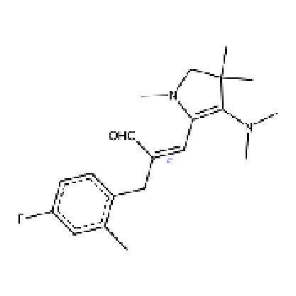 Cc1cc(F)ccc1C/C(C=O)=C/C1=C(N(C)C)C(C)(C)CN1C